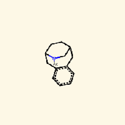 CC(=O)N1CC2CCC1Cc1ccccc1C2